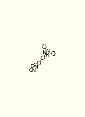 c1ccc(-c2nc(-c3ccccc3)nc(-c3ccc(-c4ccc5nc6c(ccc7cccnc76)cc5c4)cc3)n2)cc1